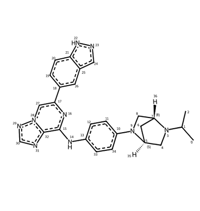 CC(C)N1C[C@@H]2C[C@@H]1CN2c1ccc(Nc2nc(-c3ccc4[nH]ncc4c3)cn3ncnc23)cc1